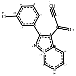 C#CC(=O)c1c(-c2cccc(Cl)c2)nn2cnccc12